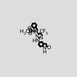 CS(=O)(=O)Nc1ccccc1CNc1nc(Nc2ccc3c(c2)CC(=O)N3)ncc1C(F)(F)F